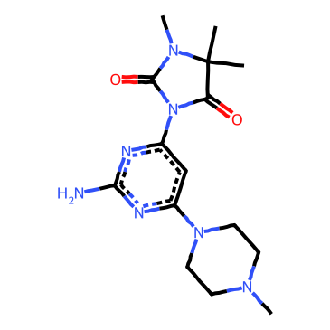 CN1CCN(c2cc(N3C(=O)N(C)C(C)(C)C3=O)nc(N)n2)CC1